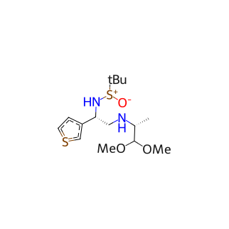 COC(OC)[C@@H](C)NC[C@@H](N[S+]([O-])C(C)(C)C)c1ccsc1